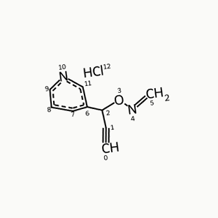 C#CC(ON=C)c1cccnc1.Cl